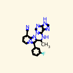 CC(Nc1ncnc2[nH]cnc12)c1nc2c(C#N)cccn2c1-c1cccc(F)c1